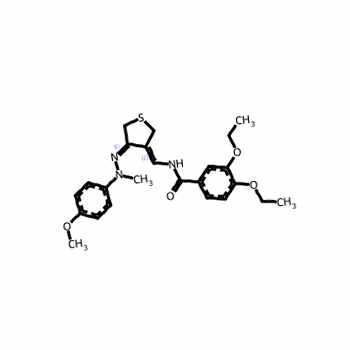 CCOc1ccc(C(=O)N/C=C2\CSC\C2=N\N(C)c2ccc(OC)cc2)cc1OCC